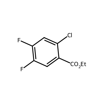 CCOC(=O)c1cc(F)c(F)cc1Cl